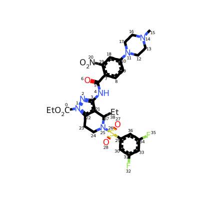 CCOC(=O)n1nc(NC(=O)c2ccc(N3CCN(C)CC3)cc2[N+](=O)[O-])c2c1CCN(S(=O)(=O)c1cc(F)cc(F)c1)C2CC